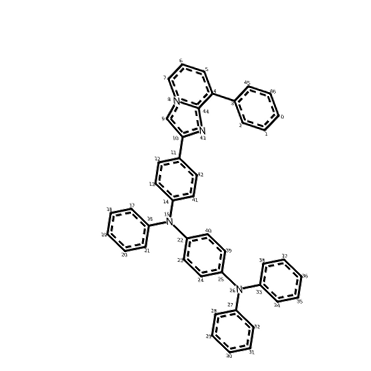 c1ccc(-c2cccn3cc(-c4ccc(N(c5ccccc5)c5ccc(N(c6ccccc6)c6ccccc6)cc5)cc4)nc23)cc1